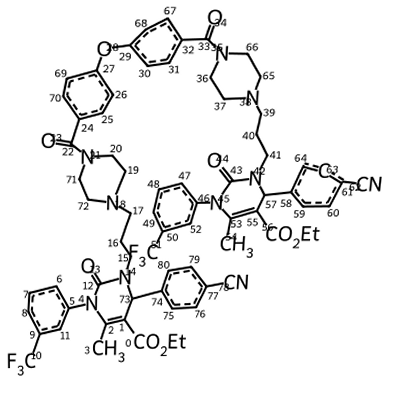 CCOC(=O)C1=C(C)N(c2cccc(C(F)(F)F)c2)C(=O)N(CCCN2CCN(C(=O)c3ccc(Oc4ccc(C(=O)N5CCN(CCCN6C(=O)N(c7cccc(C(F)(F)F)c7)C(C)=C(C(=O)OCC)C6c6ccc(C#N)cc6)CC5)cc4)cc3)CC2)C1c1ccc(C#N)cc1